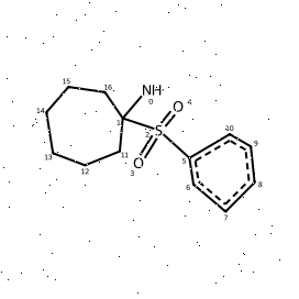 [NH]C1(S(=O)(=O)c2ccccc2)CCCCCC1